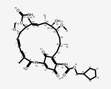 CO[C@H]1/C=C\C=C(/C)C(=O)NC2=CC(=O)C(NC(=O)OCC3CCCC3)=C(C[C@@H](C)C[C@H](OC)[C@H](O)[C@@H](C)/C=C(\C)[C@@H]1OC(N)=O)C2=O